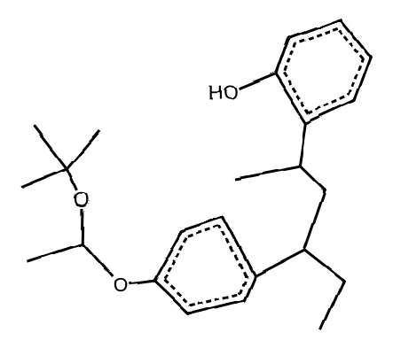 CCC(CC(C)c1ccccc1O)c1ccc(OC(C)OC(C)(C)C)cc1